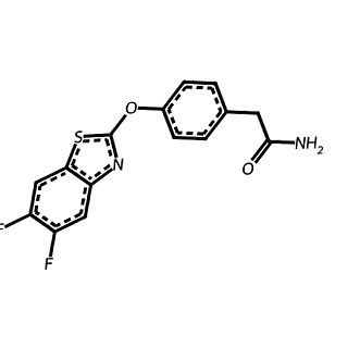 NC(=O)Cc1ccc(Oc2nc3cc(F)c(F)cc3s2)cc1